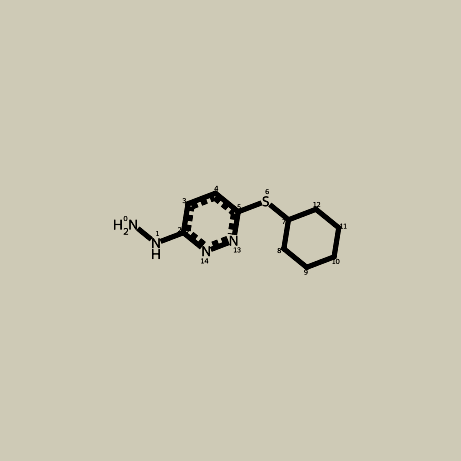 NNc1ccc(SC2CCCCC2)nn1